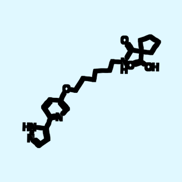 O=C(O)C1(C(=O)NCCCCCCOc2ccc(-c3ccn[nH]3)nc2)CCCC1